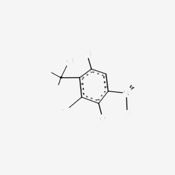 CC(C)(C)c1c(Cl)cc([N+](=O)[O-])c(O)c1Cl